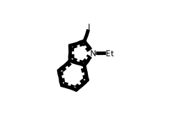 CCn1c(I)cc2ccccc21